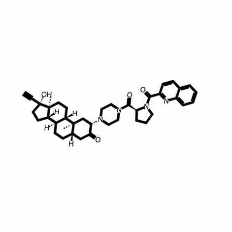 C#C[C@]1(O)CC[C@H]2[C@@H]3CC[C@H]4CC(=O)[C@@H](N5CCN(C(=O)[C@@H]6CCCN6C(=O)c6ccc7ccccc7n6)CC5)C[C@]4(C)[C@H]3CC[C@@]21C